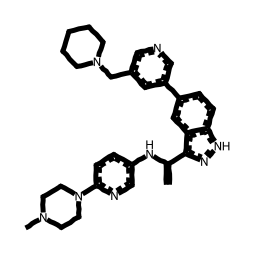 C=C(Nc1ccc(N2CCN(C)CC2)nc1)c1n[nH]c2ccc(-c3cncc(CN4CCCCC4)c3)cc12